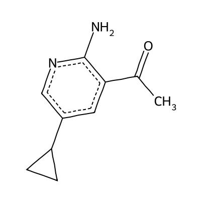 CC(=O)c1cc(C2CC2)cnc1N